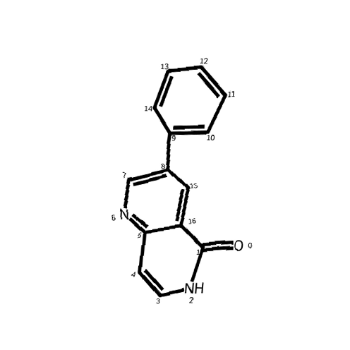 O=c1[nH]ccc2ncc(-c3ccccc3)cc12